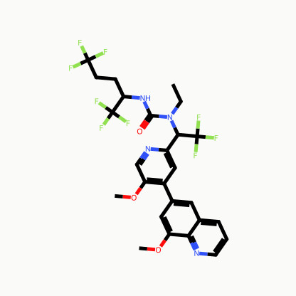 CCN(C(=O)NC(CCC(F)(F)F)C(F)(F)F)C(c1cc(-c2cc(OC)c3ncccc3c2)c(OC)cn1)C(F)(F)F